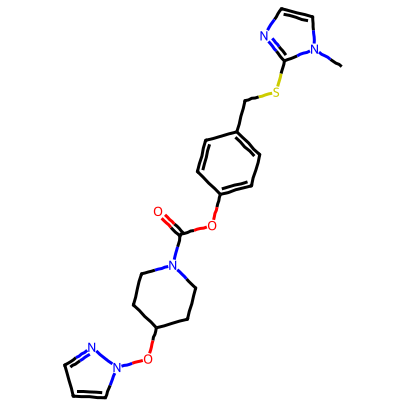 Cn1ccnc1SCc1ccc(OC(=O)N2CCC(On3cccn3)CC2)cc1